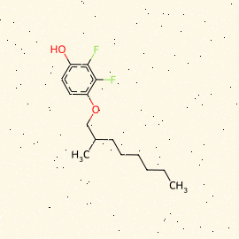 CCCCCCC(C)COc1ccc(O)c(F)c1F